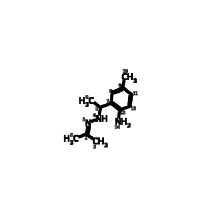 CC(C)=NNC(C)c1cc(C)ccc1N